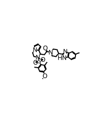 COc1cc(C)c(S(=O)(=O)N2CCn3cccc3C2CC(=O)N2CCC(c3nc4cc(C)ccc4[nH]3)CC2)c(C)c1